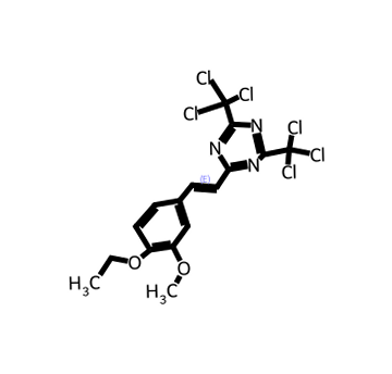 CCOc1ccc(/C=C/c2nc(C(Cl)(Cl)Cl)nc(C(Cl)(Cl)Cl)n2)cc1OC